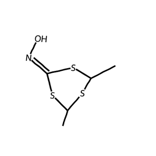 CC1SC(=NO)SC(C)S1